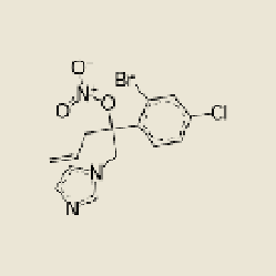 C=CCC(Cn1ccnc1)(O[N+](=O)[O-])c1ccc(Cl)cc1Br